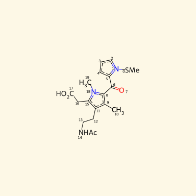 CSn1cccc1C(=O)c1c(C)c(CCNC(C)=O)c(CC(=O)O)n1C